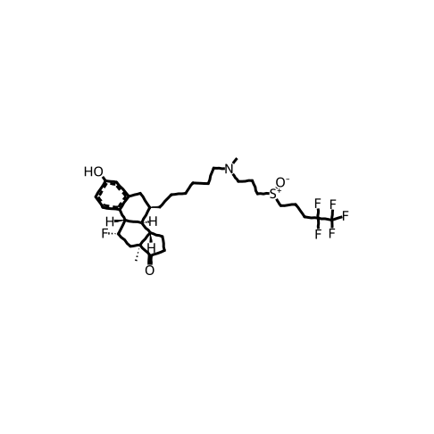 CN(CCCCCC[C@@H]1Cc2cc(O)ccc2[C@@H]2[C@@H]1[C@@H]1CCC(=O)[C@@]1(C)C[C@@H]2F)CCC[S+]([O-])CCCC(F)(F)C(F)(F)F